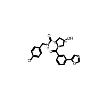 O=C(NCc1ccc(Cl)cc1)[C@@H]1C[C@@H](O)CN1C(=O)c1cccc(-c2cnco2)c1